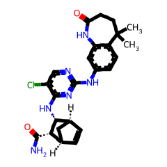 CC1(C)CCC(=O)Nc2cc(Nc3ncc(Cl)c(N[C@H]4[C@@H](C(N)=O)[C@@H]5C=C[C@H]4C5)n3)ccc21